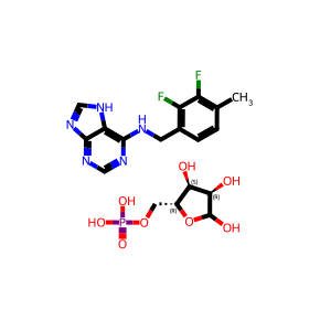 Cc1ccc(CNc2ncnc3nc[nH]c23)c(F)c1F.O=P(O)(O)OC[C@H]1OC(O)[C@H](O)[C@@H]1O